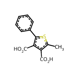 Cc1sc(-c2ccccc2)c(C(=O)O)c1C(=O)O